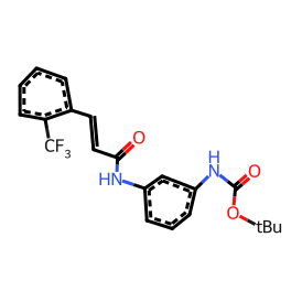 CC(C)(C)OC(=O)Nc1cccc(NC(=O)C=Cc2ccccc2C(F)(F)F)c1